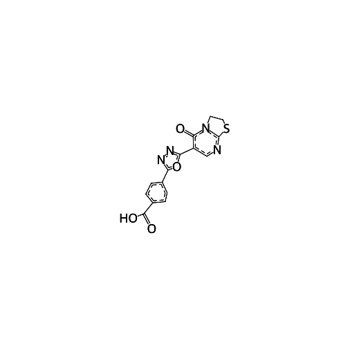 O=C(O)c1ccc(-c2nnc(-c3cnc4n(c3=O)CCS4)o2)cc1